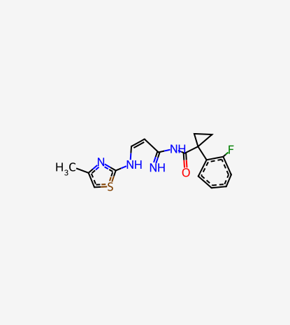 Cc1csc(N/C=C\C(=N)NC(=O)C2(c3ccccc3F)CC2)n1